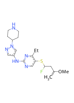 C=C(CC(F)Sc1cnc(Nc2cnn(C3CCNCC3)c2)nc1CC)OC